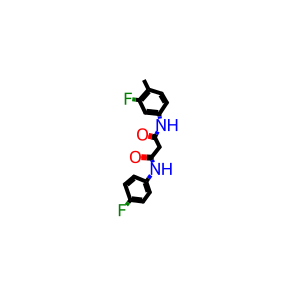 Cc1ccc(NC(=O)CC(=O)Nc2ccc(F)cc2)cc1F